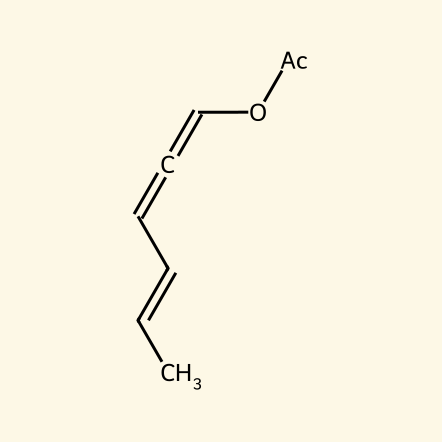 CC=CC=C=COC(C)=O